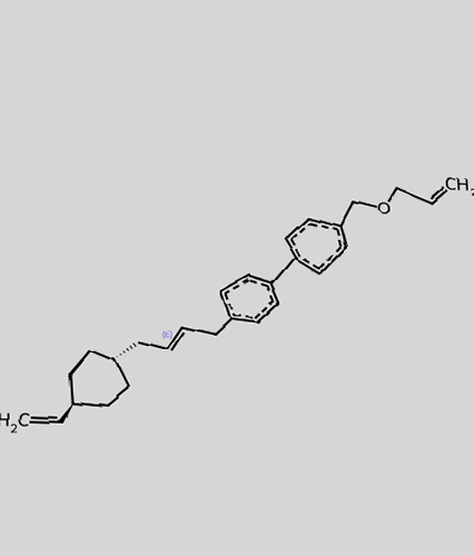 C=CCOCc1ccc(-c2ccc(C/C=C/C[C@H]3CC[C@H](C=C)CC3)cc2)cc1